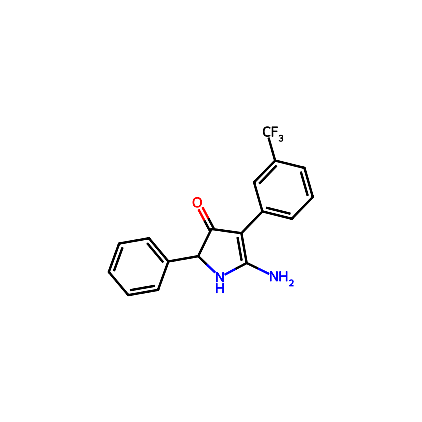 NC1=C(c2cccc(C(F)(F)F)c2)C(=O)C(c2ccccc2)N1